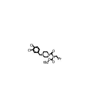 CC(C)CN(C(=O)OC(C)(C)C)C(=O)N1CCN(Cc2ccc(Cl)c(Cl)c2)CC1